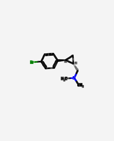 CN(C)C[C@H]1C[C@@H]1c1ccc(Br)cc1